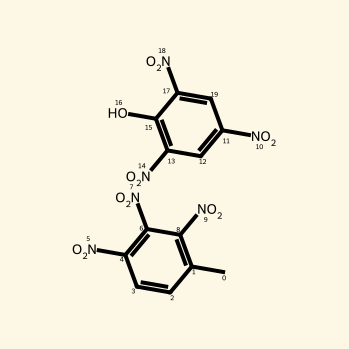 Cc1ccc([N+](=O)[O-])c([N+](=O)[O-])c1[N+](=O)[O-].O=[N+]([O-])c1cc([N+](=O)[O-])c(O)c([N+](=O)[O-])c1